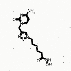 Nc1ccn(Cc2cn(CCCCCC(=O)NO)nn2)c(=O)n1